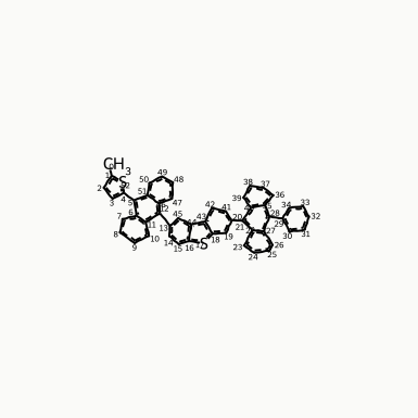 Cc1ccc(-c2c3ccccc3c(-c3ccc4sc5cc(-c6c7ccccc7c(-c7ccccc7)c7ccccc67)ccc5c4c3)c3ccccc23)s1